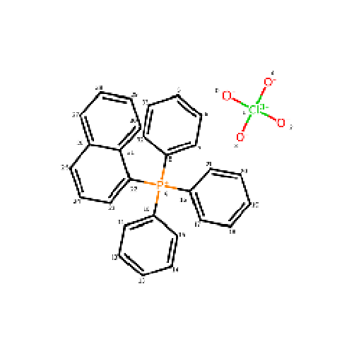 [O-][Cl+3]([O-])([O-])[O-].c1ccc([P+](c2ccccc2)(c2ccccc2)c2cccc3ccccc23)cc1